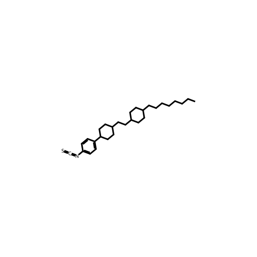 CCCCCCCCC1CCC(CCC2CCC(c3ccc(N=C=S)cc3)CC2)CC1